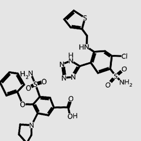 NS(=O)(=O)c1cc(-c2nnn[nH]2)c(NCc2cccs2)cc1Cl.NS(=O)(=O)c1cc(C(=O)O)cc(N2CCCC2)c1Oc1ccccc1